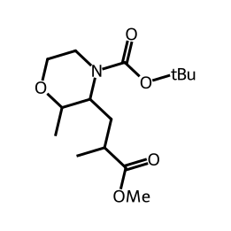 COC(=O)C(C)CC1C(C)OCCN1C(=O)OC(C)(C)C